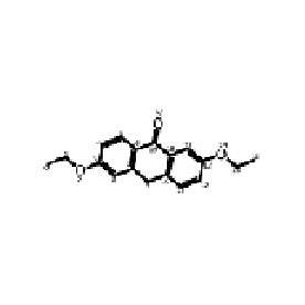 CCOc1ccc2c(c1)Cc1ccc(OCC)cc1C2=O